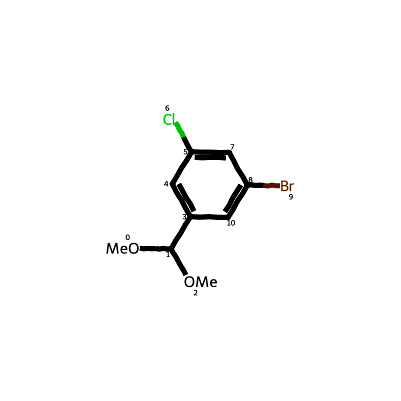 COC(OC)c1cc(Cl)cc(Br)c1